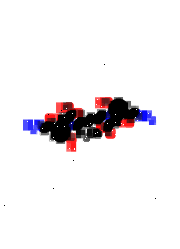 CCOC(=O)c1cc2c(C(O)CN)ccc(O)c2n1CCCCCCn1c(C(=O)O)cc2c(C(O)CN)ccc(O)c21